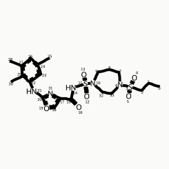 CCCS(=O)(=O)N1CCCN(S(=O)(=O)NC(=O)c2coc(Nc3cc(C)cc(C)c3C)n2)CC1